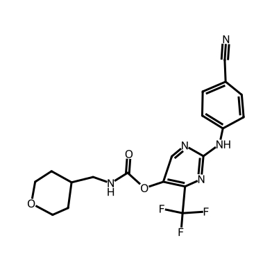 N#Cc1ccc(Nc2ncc(OC(=O)NCC3CCOCC3)c(C(F)(F)F)n2)cc1